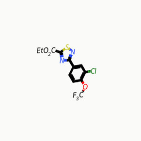 CCOC(=O)c1nc(-c2ccc(OC(F)(F)F)c(Cl)c2)ns1